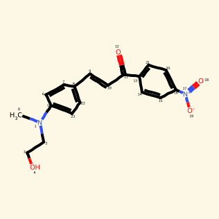 CN(CCO)c1ccc(C=CC(=O)c2ccc([N+](=O)[O-])cc2)cc1